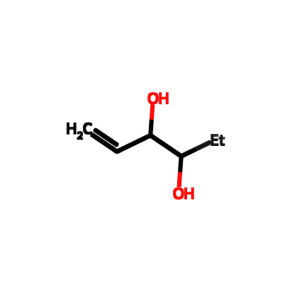 C=CC(O)C(O)CC